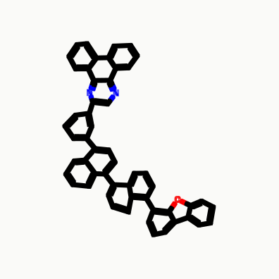 c1cc(-c2cnc3c4ccccc4c4ccccc4c3n2)cc(-c2ccc(-c3cccc4c(-c5cccc6c5oc5ccccc56)cccc34)c3ccccc23)c1